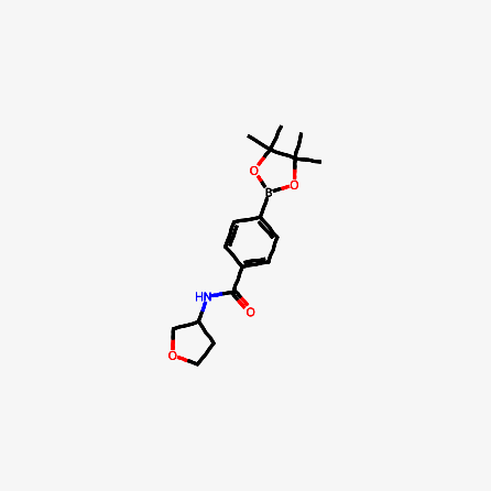 CC1(C)OB(c2ccc(C(=O)NC3CCOC3)cc2)OC1(C)C